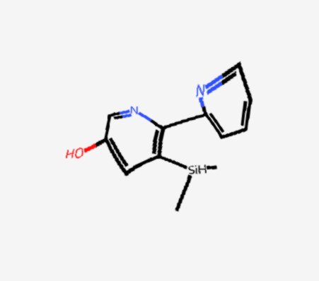 C[SiH](C)c1cc(O)cnc1-c1ccccn1